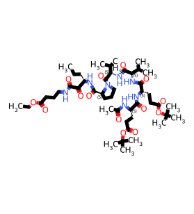 CCC[C@H](NC(=O)[C@@H]1CCCN1C(=O)[C@@H](NC(=O)[C@@H](NC(=O)[C@H](CCC(=O)OC(C)(C)C)NC(=O)[C@H](CCC(=O)OC(C)(C)C)NC(C)=O)C(C)C)C(C)C)C(=O)C(=O)NCCCC(=O)OCC